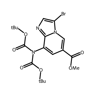 COC(=O)c1cc(N(C(=O)OC(C)(C)C)C(=O)OC(C)(C)C)c2ncc(Br)n2c1